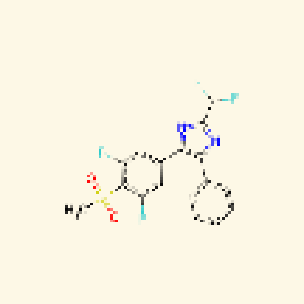 CS(=O)(=O)c1c(F)cc(-c2nc(C(F)F)[nH]c2-c2ccccc2)cc1F